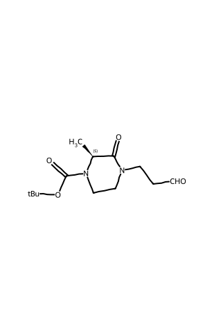 C[C@H]1C(=O)N(CCC=O)CCN1C(=O)OC(C)(C)C